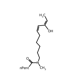 C/C=C(O)\C=C/CCCCCN(C)C(=O)CCCCC